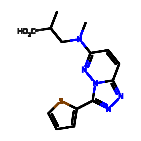 CC(CN(C)c1ccc2nnc(-c3cccs3)n2n1)C(=O)O